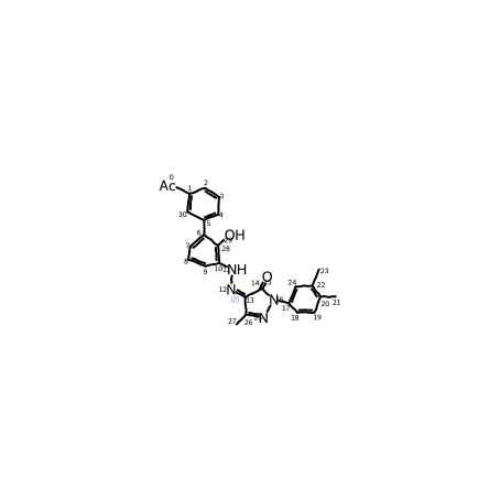 CC(=O)c1cccc(-c2cccc(N/N=C3\C(=O)N(c4ccc(C)c(C)c4)N=C3C)c2O)c1